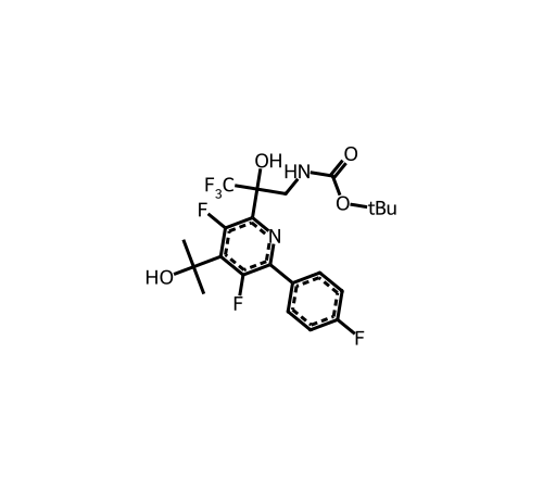 CC(C)(C)OC(=O)NCC(O)(c1nc(-c2ccc(F)cc2)c(F)c(C(C)(C)O)c1F)C(F)(F)F